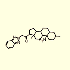 CC1CCC2(N)C(CCC3C4CCC(C(=O)Cn5nc6ccccc6n5)C4(C)CCC32)C1